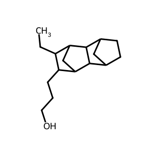 CCC1C(CCCO)C2CC1C1C3CCC(C3)C21